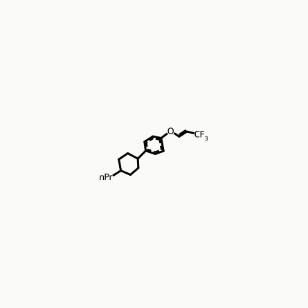 CCCC1CCC(c2ccc(O/C=C/C(F)(F)F)cc2)CC1